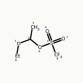 CCOC(C)OS(=O)(=O)C(F)(F)F